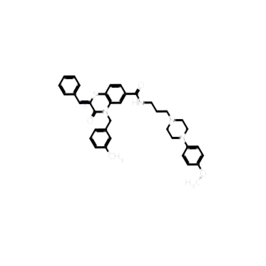 COc1ccc(N2CCN(CCCNC(=O)c3ccc4c(c3)N(Cc3cccc(C)c3)C(=O)/C(=C/c3ccccc3)S4)CC2)cc1